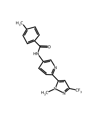 Cc1ccc(C(=O)Nc2ccc(-c3cc(C(F)(F)F)nn3C)nc2)cc1